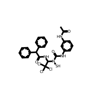 CC(=O)Nc1cccc(NC(=O)N(S)C(NC(=O)C(c2ccccc2)c2ccccc2)C(Cl)(Cl)Cl)c1